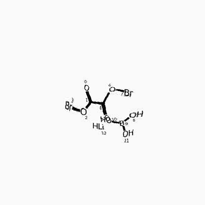 O=C(OBr)C(=O)OBr.OB(O)O.[LiH]